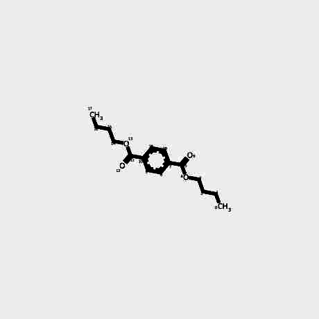 CCCCOC(=O)c1[c]cc(C(=O)OCCCC)cc1